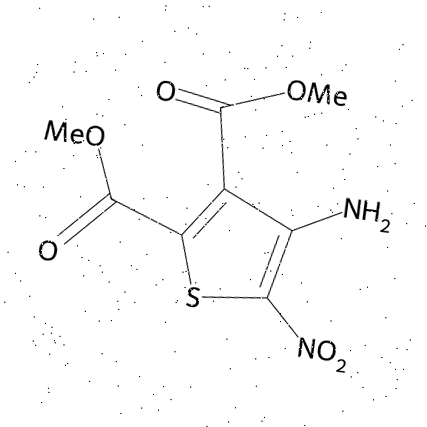 COC(=O)c1sc([N+](=O)[O-])c(N)c1C(=O)OC